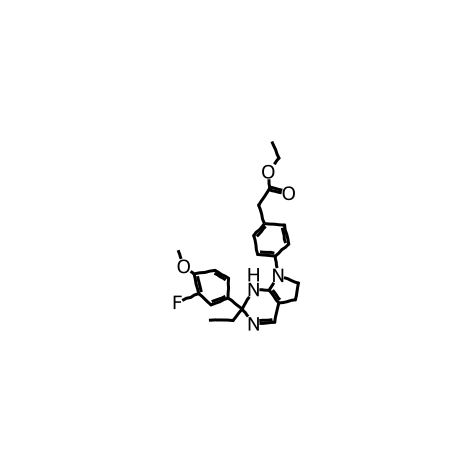 CCOC(=O)Cc1ccc(N2CCC3=C2NC(CC)(c2ccc(OC)c(F)c2)N=C3)cc1